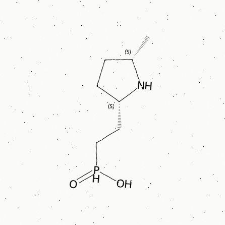 C[C@H]1CC[C@@H](CC[PH](=O)O)N1